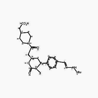 CCCCNN=Cc1ccc([C@@H]2C[C@H](CC(=O)N3CCC(CC(=O)O)CC3)OC(=O)N2C)cc1